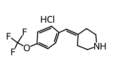 Cl.FC(F)(F)Oc1ccc(C=C2CCNCC2)cc1